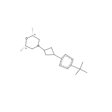 C[C@@H]1CN(C2CC(c3ccc(C(C)(C)C)cc3)C2)C[C@H](C)O1